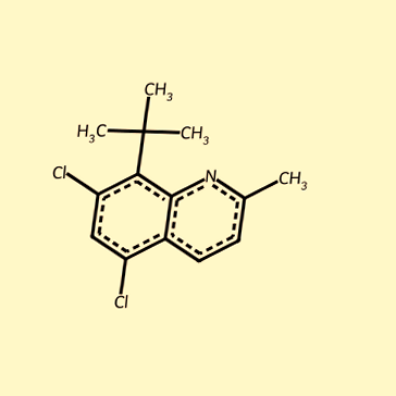 Cc1ccc2c(Cl)cc(Cl)c(C(C)(C)C)c2n1